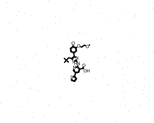 COCCOc1cc(-c2nc(Nc3ncc(-c4cccs4)cc3C(=O)O)sc2CC(C)(C)C)ccc1Cl